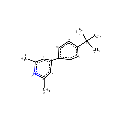 Cc1cc(-c2ccc(C(C)(C)C)cc2)cc(C)n1